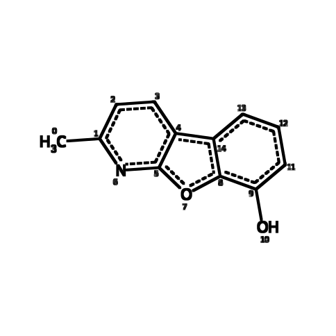 Cc1ccc2c(n1)oc1c(O)cccc12